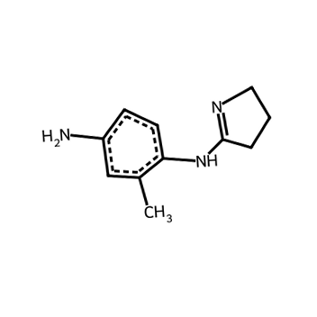 Cc1cc(N)ccc1NC1=NCCC1